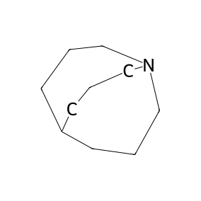 C1CC2CCCN(C1)CCC2